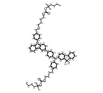 CCCCC(C)(C)OC(=O)OCCCCOCc1ccc(-n2c3ccccc3c3cc(-c4ccc(N(c5ccc(CCCCOC(=O)OC(C)(C)CCCC)cc5)c5ccc6c(c5)C(C)(C)c5ccccc5-6)cc4)ccc32)cc1